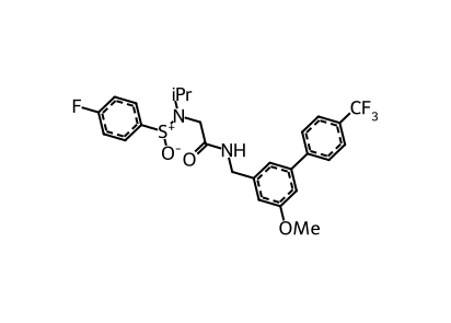 COc1cc(CNC(=O)CN(C(C)C)[S+]([O-])c2ccc(F)cc2)cc(-c2ccc(C(F)(F)F)cc2)c1